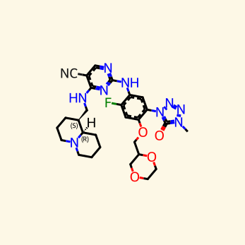 Cn1nnn(-c2cc(Nc3ncc(C#N)c(NC[C@@H]4CCCN5CCCC[C@H]45)n3)c(F)cc2OCC2COCCO2)c1=O